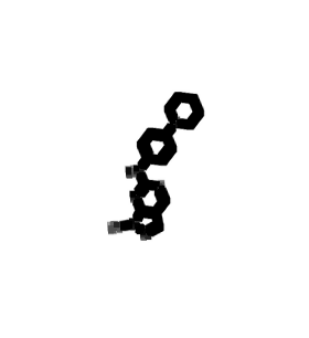 CC(C)n1ncc2cnc(Nc3ccc(N4CCCCC4)cc3)nc21